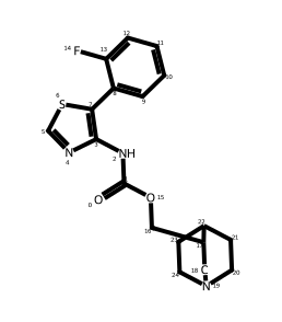 O=C(Nc1ncsc1-c1ccccc1F)OCC1CN2CCC1CC2